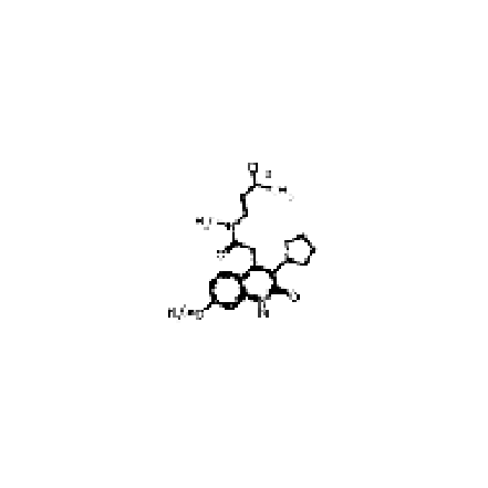 COc1ccc2c(CC(=O)N(C)CCC(C)C)c(C3CCCC3)c(=O)[nH]c2c1